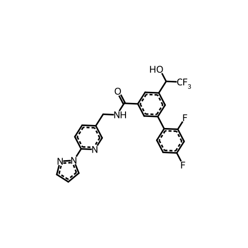 O=C(NCc1ccc(-n2cccn2)nc1)c1cc(-c2ccc(F)cc2F)cc(C(O)C(F)(F)F)c1